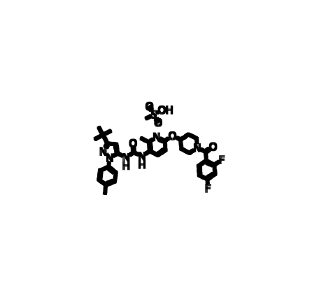 CS(=O)(=O)O.Cc1ccc(-n2nc(C(C)(C)C)cc2NC(=O)Nc2ccc(OC3CCN(C(=O)c4ccc(F)cc4F)CC3)nc2C)cc1